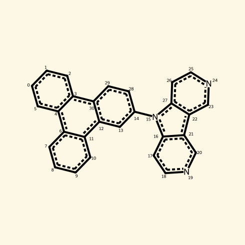 c1ccc2c(c1)c1ccccc1c1cc(-n3c4ccncc4c4cnccc43)ccc21